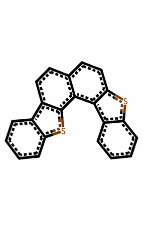 c1ccc2c(c1)sc1c2ccc2ccc3sc4ccccc4c3c21